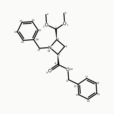 COC(OC)[C@H]1C[C@@H](C(=O)OCc2ccccc2)N1Cc1ccccc1